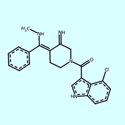 CN/C(=C1/CCN(C(=O)c2c[nH]c3cccc(Cl)c23)CC1=N)c1ccccc1